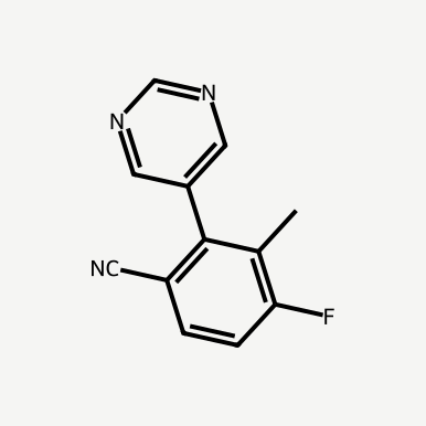 Cc1c(F)ccc(C#N)c1-c1cncnc1